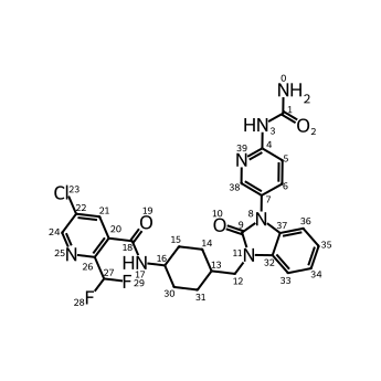 NC(=O)Nc1ccc(-n2c(=O)n(CC3CCC(NC(=O)c4cc(Cl)cnc4C(F)F)CC3)c3ccccc32)cn1